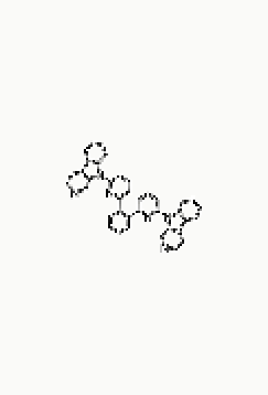 c1cc(-c2ccccc2-c2cccc(-n3c4ccccc4c4ccncc43)n2)nc(-n2c3ccccc3c3ccncc32)c1